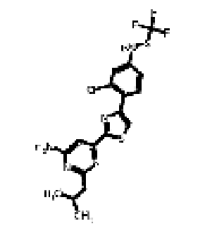 CC(C)Cc1nc(N)cc(-c2nc(-c3ccc(NSC(F)(F)F)cc3Cl)cs2)n1